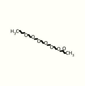 CCCCOCCOCCOCCOCCOCCOCC(=O)CC